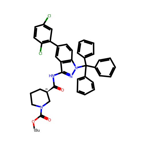 CC(C)(C)OC(=O)N1CCC[C@@H](C(=O)Nc2nn(C(c3ccccc3)(c3ccccc3)c3ccccc3)c3ccc(-c4cc(Cl)ccc4Cl)cc23)C1